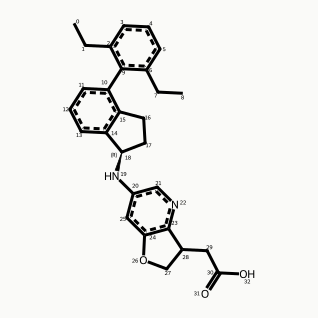 CCc1cccc(CC)c1-c1cccc2c1CC[C@H]2Nc1cnc2c(c1)OCC2CC(=O)O